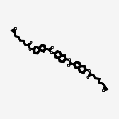 O=C(CCCCCC1CO1)Oc1ccc2cc(C(=O)Oc3ccc4cc(OC(=O)c5ccc6cc(OC(=O)CCCCCC7CO7)ccc6c5)ccc4c3)ccc2c1